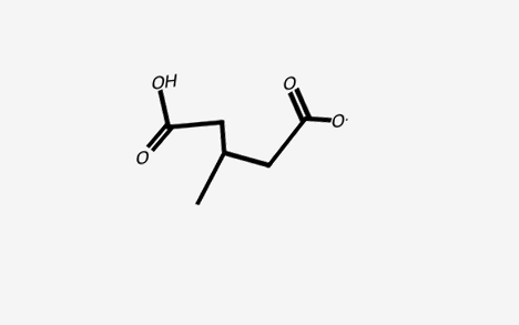 CC(CC([O])=O)CC(=O)O